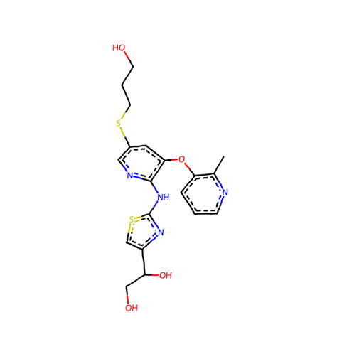 Cc1ncccc1Oc1cc(SCCCO)cnc1Nc1nc(C(O)CO)cs1